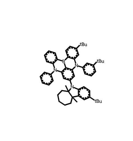 CC(C)(C)c1cccc(N2c3cc(C(C)(C)C)ccc3B3c4ccccc4N(c4ccccc4)c4cc(N5c6ccc(C(C)(C)C)cc6C6(C)CCCCCC56C)cc2c43)c1